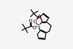 CC(C)(C)C(=O)[O][Ti]1([O]C(=O)C(C)(C)C)[C]2=C(C=CC2)CCC2=[C]1CC=C2